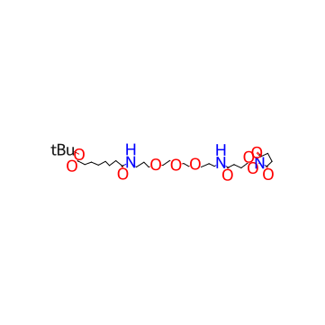 CC(C)(C)OC(=O)CCCCCCC(=O)NCCCOCCOCCOCCCNC(=O)CCC(=O)ON1C(=O)CCC1=O